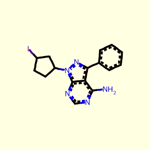 Nc1ncnc2c1c(-c1ccccc1)nn2C1CCC(I)C1